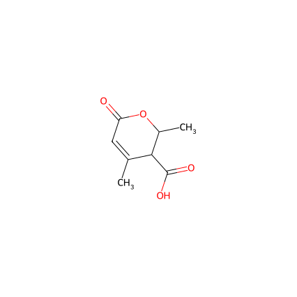 CC1=CC(=O)OC(C)C1C(=O)O